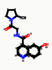 N#CC1CCCN1C(=O)CNC(=O)c1ccnc2ccc(O)cc12